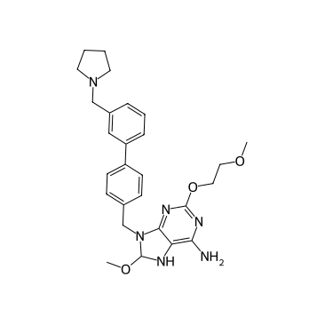 COCCOc1nc(N)c2c(n1)N(Cc1ccc(-c3cccc(CN4CCCC4)c3)cc1)C(OC)N2